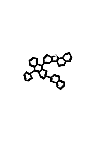 C1=CC2C=Cc3c(oc4ccc(-c5c6ccccc6c(-c6ccccc6)c6ccc(-c7ccc8ccccc8c7)cc56)cc34)C2C=C1